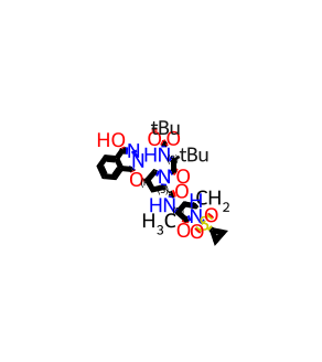 C=CC[C@@](C)(NC(=O)[C@@H]1C[C@@H](Oc2nnc(O)c3ccccc23)CN1C(=O)[C@@H](NC(=O)OC(C)(C)C)C(C)(C)C)C(=O)NS(=O)(=O)C1CC1